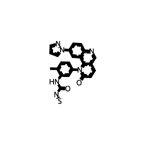 Cc1ccc(-n2c(=O)ccc3cnc4ccc(-n5cccn5)cc4c32)cc1NC(=O)N=S